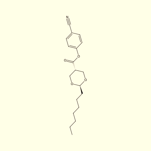 CCCCCCC[C@H]1OC[C@H](C(=O)Oc2ccc(C#N)cc2)CO1